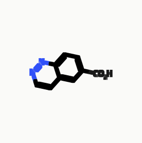 O=C(O)c1ccc2nnccc2c1